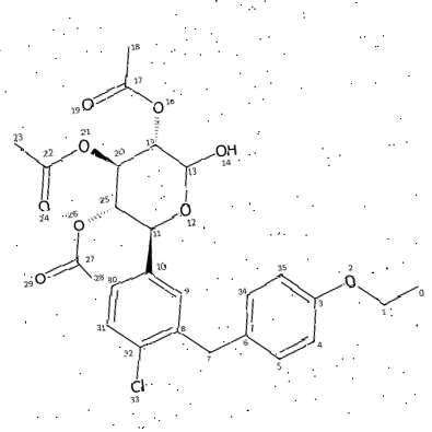 CCOc1ccc(Cc2cc([C@@H]3OC(O)[C@@H](OC(C)=O)[C@H](OC(C)=O)[C@H]3OC(C)=O)ccc2Cl)cc1